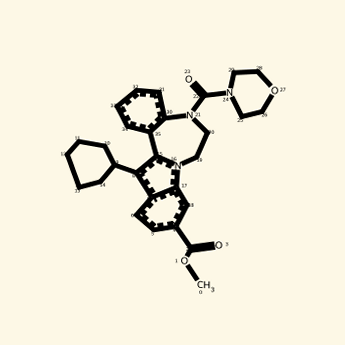 COC(=O)c1ccc2c(C3CCCCC3)c3n(c2c1)CCN(C(=O)N1CCOCC1)c1ccccc1-3